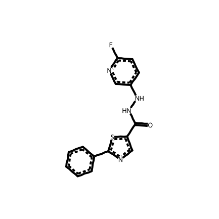 O=C(NNc1ccc(F)nc1)c1cnc(-c2ccccc2)s1